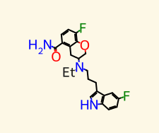 CCN(CCCc1c[nH]c2ccc(F)cc12)C1COc2c(F)ccc(C(N)=O)c2C1